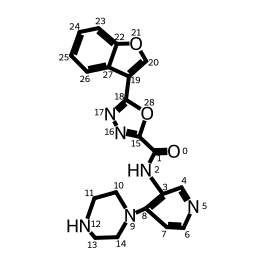 O=C(Nc1cnccc1N1CCNCC1)c1nnc(-c2coc3ccccc23)o1